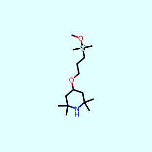 CO[Si](C)(C)CCCOC1CC(C)(C)NC(C)(C)C1